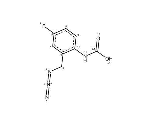 [N-]=[N+]=NCc1cc(F)ccc1NC(=O)O